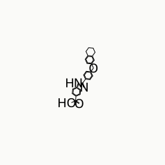 O=C(O)c1ccc2[nH]c(-c3ccc(Oc4ccc5c(c4)CCCC5)cc3)nc2c1